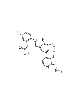 NCc1nccc(-c2cc(COc3ccc(F)cc3CC(=O)O)c(F)c3ccoc23)c1F